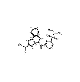 CN(C)S(=O)(=O)c1cccc(Nc2nc3ccncc3c3cc(C(=O)O)nn23)c1